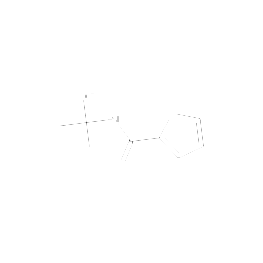 CCCC(C)(CC)NC(=O)c1cccs1